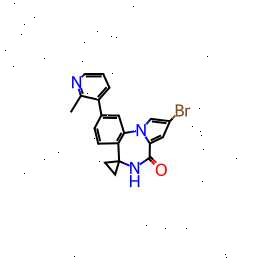 Cc1ncccc1-c1ccc2c(c1)-n1cc(Br)cc1C(=O)NC21CC1